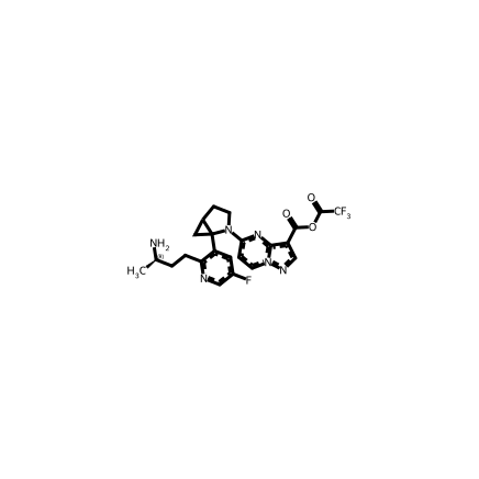 C[C@@H](N)CCc1ncc(F)cc1C12CC1CCN2c1ccn2ncc(C(=O)OC(=O)C(F)(F)F)c2n1